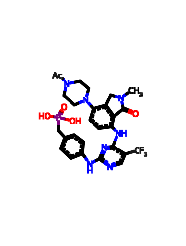 CC(=O)N1CCN(c2ccc(Nc3nc(Nc4ccc(CP(=O)(O)O)cc4)ncc3C(F)(F)F)c3c2CN(C)C3=O)CC1